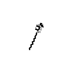 CCCCCCCCCCCCNC1CCCC2(C1)NC(C)(C)C(C)(C)N2